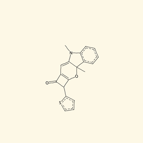 CN1C2=CC3=C(OC2(C)c2ccccc21)C(c1cccs1)C3=O